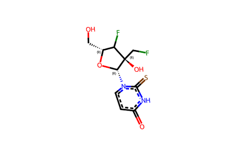 O=c1ccn([C@@H]2O[C@H](CO)C(F)[C@]2(O)CF)c(=S)[nH]1